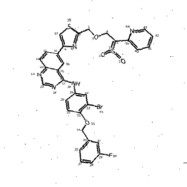 O=S(=O)=C(COCc1nc(-c2ccc3ncnc(Nc4ccc(OCc5cccc(F)c5)c(Br)c4)c3c2)cs1)c1ccccn1